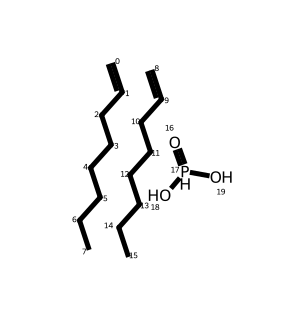 C=CCCCCCC.C=CCCCCCC.O=[PH](O)O